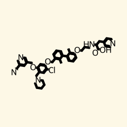 Cc1c(COc2cc(OCc3cncc(C#N)c3)c(CN3CCCCC3)cc2Cl)cccc1-c1cccc(OCCCNC(Cc2ccncc2)C(=O)O)c1C